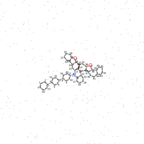 c1ccc(-c2ccc(-c3ccc(N(c4ccc5oc6ccccc6c5c4)c4ccccc4-c4cccc5oc6c7ccccc7ccc6c45)cc3)cc2)cc1